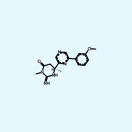 COc1cccc(-c2cncc([C@]3(C)CC(=O)N(C)C(=N)N3)n2)c1